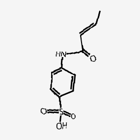 CC=CC(=O)Nc1ccc(S(=O)(=O)O)cc1